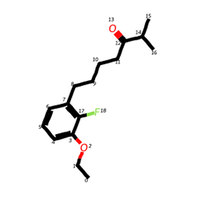 CCOc1cccc(CCCCC(=O)C(C)C)c1F